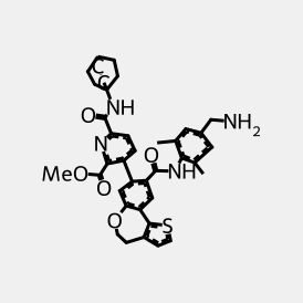 COC(=O)c1nc(C(=O)NC23CCC(CC2)CC3)ccc1-c1cc2c(cc1C(=O)Nc1c(C)cc(CN)cc1C)-c1sccc1CCO2